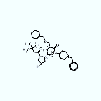 CC(C)(C)CC(=O)N1CSC[C@H]1C(=O)N[C@@H](CSCC1CCCCC1)C(=O)NC1CCN(Cc2ccccc2)CC1.Cl